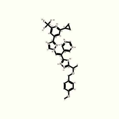 COc1ccc(COC(C)c2nnc(/C(=C/n3cnc(-c4cc(C5CC5)nc(C(F)(F)F)c4)n3)c3cncnc3)s2)cc1